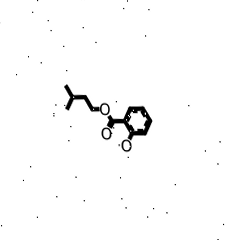 CC(C)CCOC(=O)c1ccccc1[O]